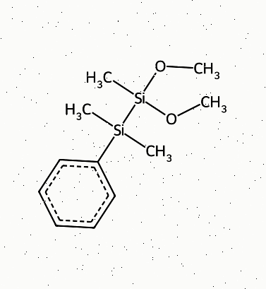 CO[Si](C)(OC)[Si](C)(C)c1ccccc1